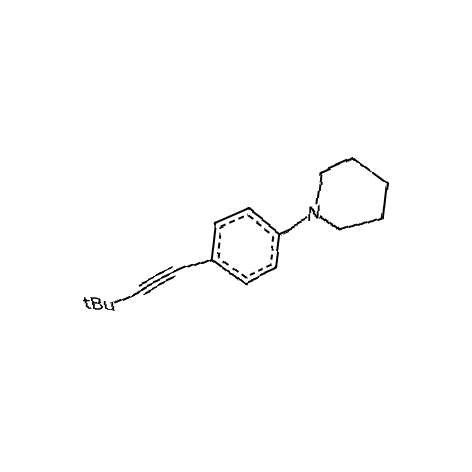 CC(C)(C)C#Cc1ccc(N2CCCCC2)cc1